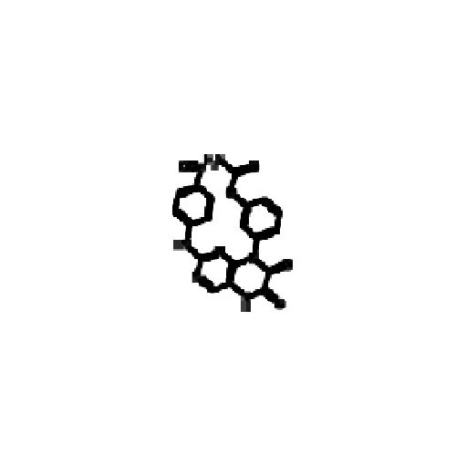 COc1ccc(Nc2ncc3[nH]c(=O)c(=O)n(-c4cccc(OC(N)=O)c4)c3n2)cc1